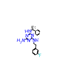 CC[C@H](Nc1nc(N)nc(NCCc2cccc(F)c2)n1)c1ccccc1